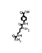 NC(=O)NCCC[C@H](N)C(=O)Nc1ccc(C(=O)O)cc1